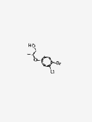 CC(CO)Oc1ccc(Br)c(Cl)c1